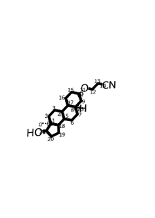 C[C@]12CCC3C(CC[C@H]4C[C@@H](OCCC#N)CCC34)C1CCC2O